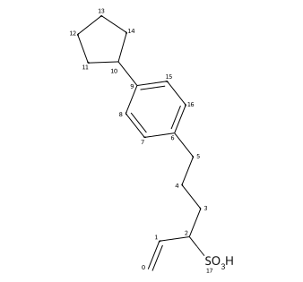 C=CC(CCCc1ccc(C2CCCC2)cc1)S(=O)(=O)O